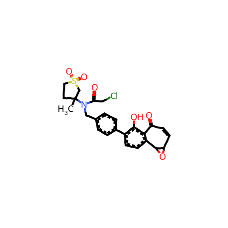 CC1(N(Cc2ccc(-c3ccc4c(c3O)C(=O)C=CC3OC43)cc2)C(=O)CCl)CCS(=O)(=O)C1